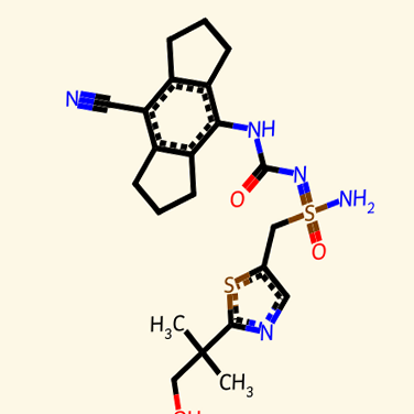 CC(C)(CO)c1ncc(CS(N)(=O)=NC(=O)Nc2c3c(c(C#N)c4c2CCC4)CCC3)s1